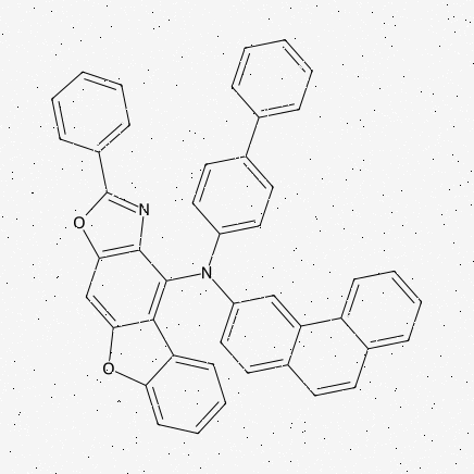 c1ccc(-c2ccc(N(c3ccc4ccc5ccccc5c4c3)c3c4nc(-c5ccccc5)oc4cc4oc5ccccc5c34)cc2)cc1